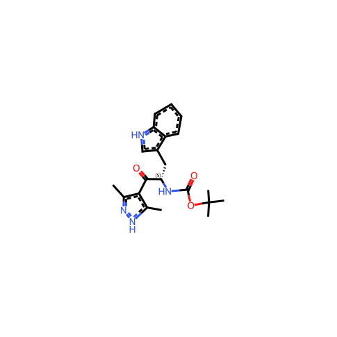 Cc1n[nH]c(C)c1C(=O)[C@H](Cc1c[nH]c2ccccc12)NC(=O)OC(C)(C)C